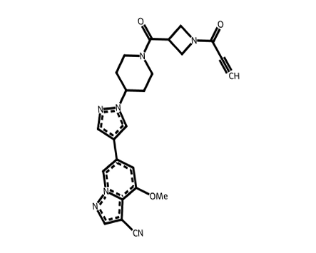 C#CC(=O)N1CC(C(=O)N2CCC(n3cc(-c4cc(OC)c5c(C#N)cnn5c4)cn3)CC2)C1